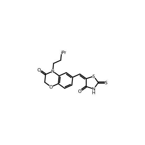 CC(C)CCN1C(=O)COc2ccc(C=C3SC(=S)NC3=O)cc21